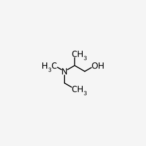 CCN(C)C(C)CO